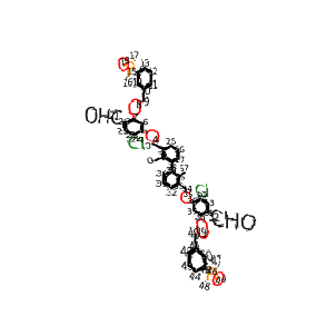 Cc1c(COc2cc(OCc3cccc(P(C)(C)=O)c3)c(C=O)cc2Cl)cccc1-c1cccc(COc2cc(OCc3cccc(P(C)(C)=O)c3)c(C=O)cc2Cl)c1C